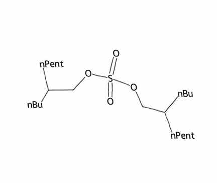 CCCCCC(CCCC)COS(=O)(=O)OCC(CCCC)CCCCC